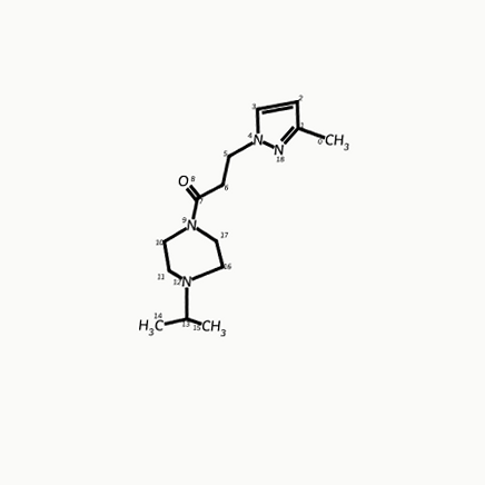 Cc1ccn(CCC(=O)N2CCN(C(C)C)CC2)n1